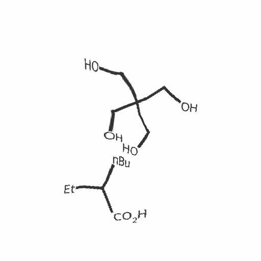 CCCCC(CC)C(=O)O.OCC(CO)(CO)CO